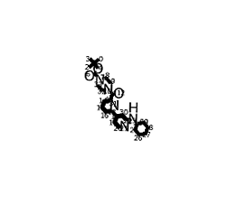 CC(C)(C)OC(=O)N1CCN(C(=O)c2cccc(-c3ccnc(NC4CCCCC4)c3)n2)CC1